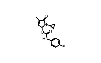 CC1=CC(OC(=O)Nc2ccc(F)cc2)N(C2CC2)C1=O